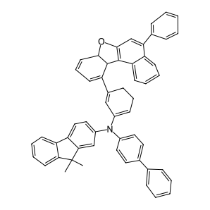 CC1(C)c2ccccc2-c2ccc(N(C3=CCCC(C4=CC=CC5Oc6cc(-c7ccccc7)c7ccccc7c6C45)=C3)c3ccc(-c4ccccc4)cc3)cc21